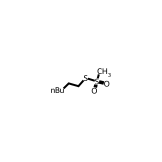 CCCCCCSS(C)(=O)=O